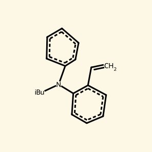 C=Cc1ccccc1N(c1ccccc1)C(C)CC